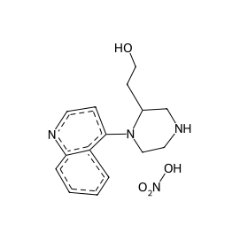 O=[N+]([O-])O.OCCC1CNCCN1c1ccnc2ccccc12